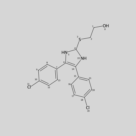 OCCSC1NC(c2ccc(Cl)cc2)=C(c2ccc(Cl)cc2)N1